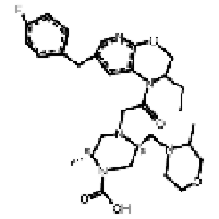 CCC1COc2ncc(Cc3ccc(F)cc3)cc2N1C(=O)CN1C[C@@H](C)N(C(=O)O)C[C@@H]1CN1CCOCC1C